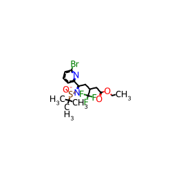 CCOC(=O)CC(C/C(=N/[S@+]([O-])C(C)(C)C)c1cccc(Br)n1)C(F)(F)F